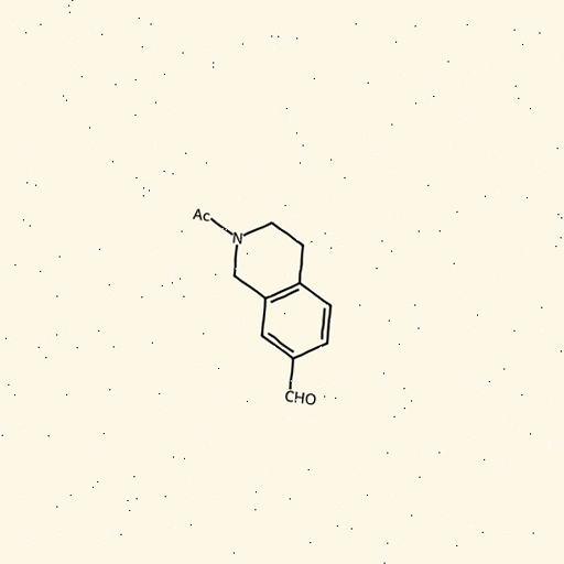 CC(=O)N1CCc2ccc(C=O)cc2C1